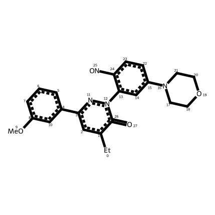 CCc1cc(-c2cccc(OC)c2)nn(-c2cc(N3CCOCC3)ccc2N=O)c1=O